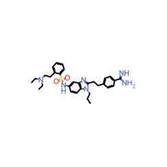 CCCn1c(CCc2ccc(C(=N)N)cc2)nc2cc(NS(=O)(=O)c3ccccc3CCN(CC)CC)ccc21